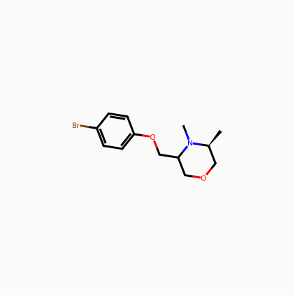 C[C@H]1COCC(COc2ccc(Br)cc2)N1C